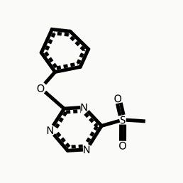 CS(=O)(=O)c1ncnc(Oc2ccccc2)n1